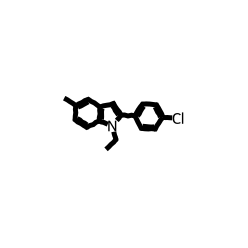 CCn1c(-c2ccc(Cl)cc2)cc2cc(C)ccc21